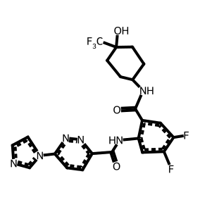 O=C(Nc1cc(F)c(F)cc1C(=O)NC1CCC(O)(C(F)(F)F)CC1)c1ccc(-n2ccnc2)nn1